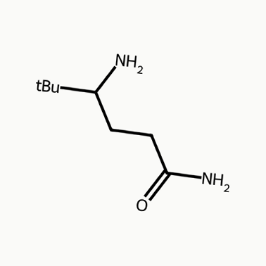 CC(C)(C)C(N)CCC(N)=O